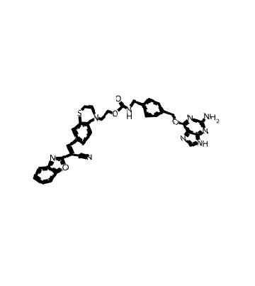 N#C/C(=C\c1ccc2c(c1)SCCN2CCOC(=O)NCc1ccc(COc2nc(N)nc3[nH]cnc23)cc1)c1nc2ccccc2o1